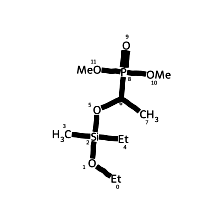 CCO[Si](C)(CC)OC(C)P(=O)(OC)OC